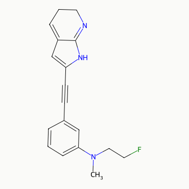 CN(CCF)c1cccc(C#Cc2cc3c([nH]2)=NCCC=3)c1